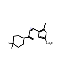 C=C(/C=C\c1cc(C(=O)O)sc1C)N1CCC(F)(F)CC1